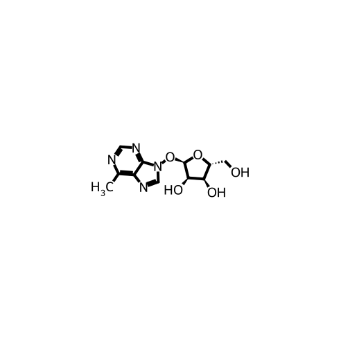 Cc1ncnc2c1ncn2O[C@H]1O[C@H](CO)[C@@H](O)[C@H]1O